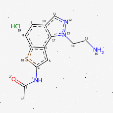 CC(=O)Nc1cc2c(ccc3cnn(CCN)c32)s1.Cl